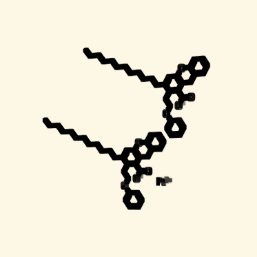 CCCCCCCCCCCCc1cc2c(c(C(=O)[O-])c1CCOc1ccccc1)Cc1ccccc1O2.CCCCCCCCCCCCc1cc2c(c(C(=O)[O-])c1CCOc1ccccc1)Cc1ccccc1O2.[Pt+2]